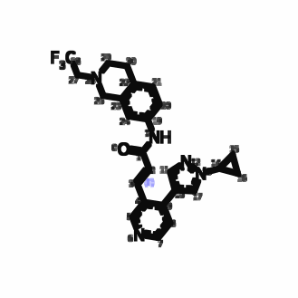 O=C(/C=C/c1cnccc1-c1cnn(C2CC2)c1)Nc1ccc2c(c1)CN(CC(F)(F)F)CC2